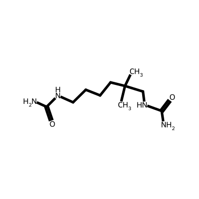 CC(C)(CCCCNC(N)=O)CNC(N)=O